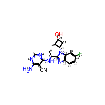 C[C@H](Nc1ncnc(N)c1C#N)c1nc2ccc(F)cc2n1[C@H]1C[C@@H](O)C1